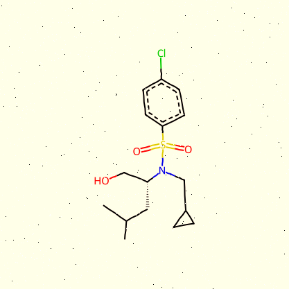 CC(C)C[C@H](CO)N(CC1CC1)S(=O)(=O)c1ccc(Cl)cc1